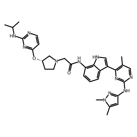 Cc1cnc(Nc2cc(C)n(C)n2)nc1-c1c[nH]c2c(NC(=O)CN3CC[C@H](Oc4ccnc(NC(C)C)n4)C3)cccc12